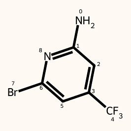 Nc1cc(C(F)(F)F)cc(Br)n1